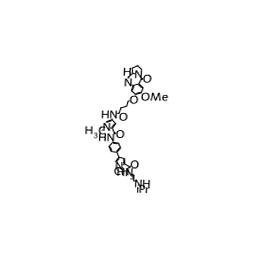 COc1cc2c(cc1OCCCC(=O)Nc1cc(C(=O)Nc3ccc(-c4cc(C(=O)NCCNC(C)C)n(C)c4)cc3)n(C)c1)N=C[C@H]1CCCN1C2=O